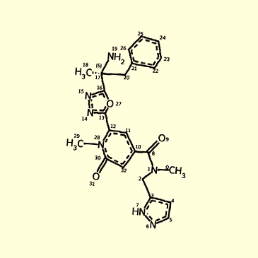 CN(Cc1ccn[nH]1)C(=O)c1cc(-c2nnc([C@@](C)(N)Cc3ccccc3)o2)n(C)c(=O)c1